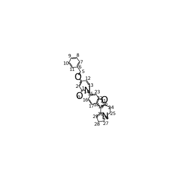 O=c1cc(OCc2ccccc2)ccn1-c1ccc2c3c(oc2c1)CCN1CCCC31